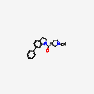 N#CN1CC[C@@H](C(=O)N2CCc3ccc(-c4ccccc4)cc32)C1